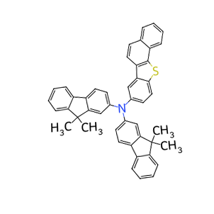 CC1(C)c2ccccc2-c2ccc(N(c3ccc4c(c3)C(C)(C)c3ccccc3-4)c3ccc4sc5c6ccccc6ccc5c4c3)cc21